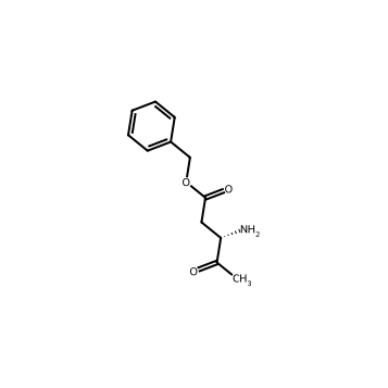 CC(=O)[C@@H](N)CC(=O)OCc1ccccc1